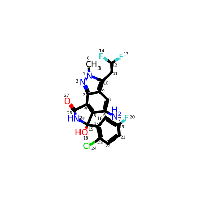 Cn1nc2c3c(c(N)cc2c1CC(F)F)C(O)(c1cc(F)ccc1Cl)NC3=O